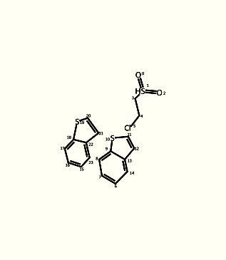 O=[SH](=O)CCCl.c1ccc2sccc2c1.c1ccc2sccc2c1